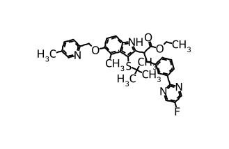 CCOC(=O)C(Cc1cccc(-c2ncc(F)cn2)c1)c1[nH]c2ccc(OCc3ccc(C)cn3)c(C)c2c1SC(C)(C)C